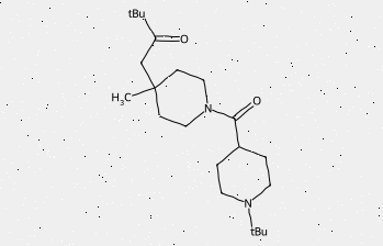 CC1(CC(=O)C(C)(C)C)CCN(C(=O)C2CCN(C(C)(C)C)CC2)CC1